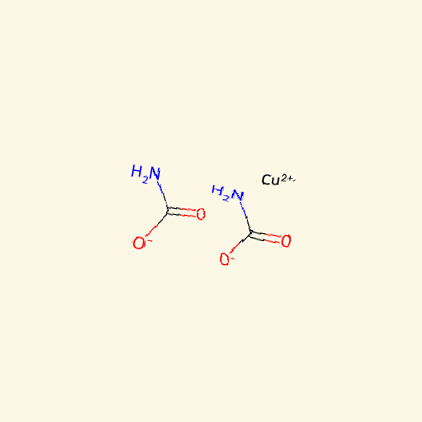 NC(=O)[O-].NC(=O)[O-].[Cu+2]